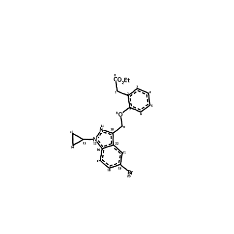 CCOC(=O)Cc1ccccc1OCc1nn(C2CC2)c2ccc(Br)cc12